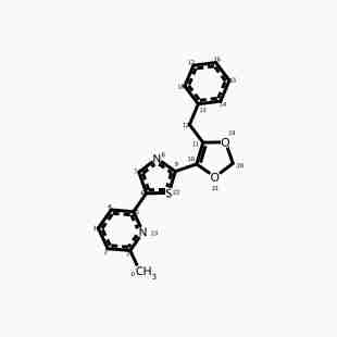 Cc1cccc(-c2cnc(C3=C(Cc4ccccc4)OCO3)s2)n1